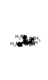 CNC(=O)[C@H]1S[C@@H](n2cnc3c(NCc4cc(C)ccn4)nc(-c4cncc(C)c4)nc32)[C@H](O)[C@@H]1O